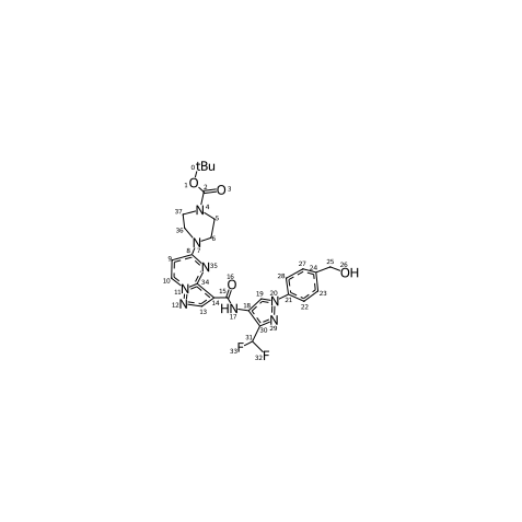 CC(C)(C)OC(=O)N1CCN(c2ccn3ncc(C(=O)Nc4cn(-c5ccc(CO)cc5)nc4C(F)F)c3n2)CC1